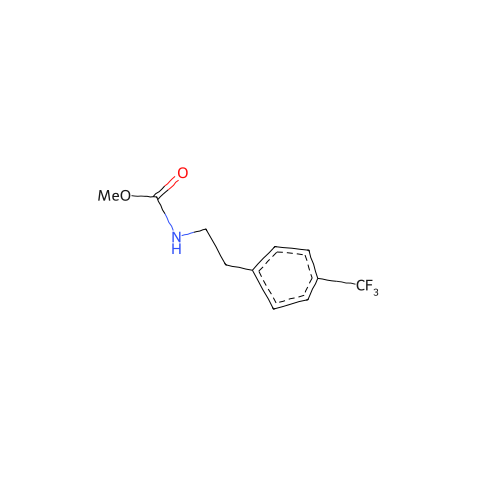 COC(=O)NCCc1ccc(C(F)(F)F)cc1